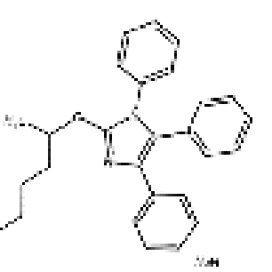 CCCCC(C)Oc1nc(-c2ccccc2)c(-c2ccccc2)n1-c1ccccc1.[NaH]